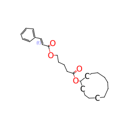 O=C(/C=C/c1ccccc1)OCCCCC(=O)OC1CCCCCCCCCCC1